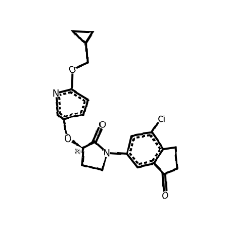 O=C1CCc2c(Cl)cc(N3CC[C@@H](Oc4ccc(OCC5CC5)nc4)C3=O)cc21